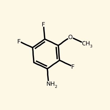 COc1c(F)c(N)cc(F)c1F